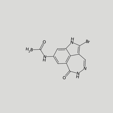 BC(=O)Nc1cc2c3c(c(Br)[nH]c3c1)C=NNC2=O